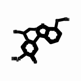 CCC(C)Oc1cccc2c3n(nc12)CC(C(C)(C)C)n1cc(C(=O)O)c(=O)cc1-3